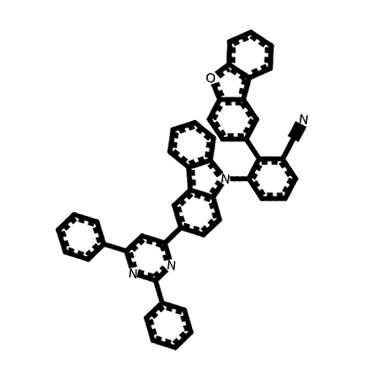 N#Cc1cccc(-n2c3ccccc3c3cc(-c4cc(-c5ccccc5)nc(-c5ccccc5)n4)ccc32)c1-c1ccc2oc3ccccc3c2c1